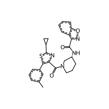 Cc1cccc(-c2sc(C3CC3)nc2C(=O)N2CCC[C@@H](NC(=O)c3noc4ccccc34)C2)c1